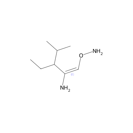 CCC(/C(N)=C\ON)C(C)C